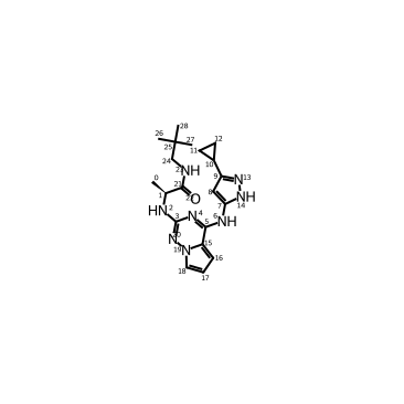 C[C@H](Nc1nc(Nc2cc(C3CC3)n[nH]2)c2cccn2n1)C(=O)NCC(C)(C)C